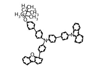 CC(C)(C)[Si](C)(C)Oc1ccc(-c2ccc(N(c3ccc(-c4ccc(-n5c6ccccc6c6ccccc65)cc4)cc3)c3ccc(-c4cccc5c4oc4ccccc45)cc3)cc2)cc1